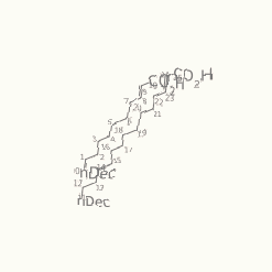 CCCCCCCCCCCCCCCCCC=CC(=O)O.CCCCCCCCCCCCCCCCCCCCCC=CC(=O)O